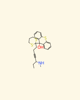 CCC(C#CCCC1(C2(O)c3ccccc3Sc3ccccc32)SCCCS1)NC